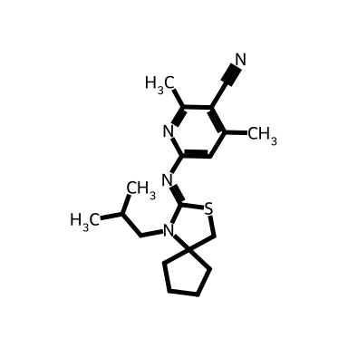 Cc1cc(N=C2SCC3(CCCC3)N2CC(C)C)nc(C)c1C#N